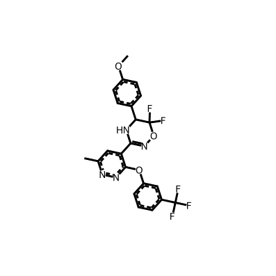 COc1ccc(C2NC(c3cc(C)nnc3Oc3cccc(C(F)(F)F)c3)=NOC2(F)F)cc1